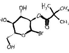 CC(C)(C)C(=O)O[C@H]1C(Br)O[C@H](CO)[C@@H](O)[C@@H]1O